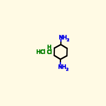 Cl.Cl.NC1CCC(N)CC1